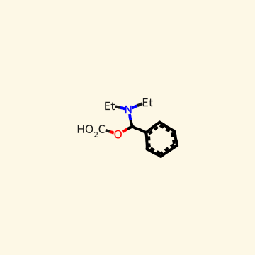 CCN(CC)C(OC(=O)O)c1ccccc1